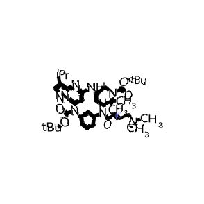 CC(C)c1cnn2c(N(C(=O)OC(C)(C)C)c3cccc(NC(=O)/C=C/CN(C)C)c3)cc(N[C@H]3CCC(C)(C)N(C(=O)OC(C)(C)C)C3)nc12